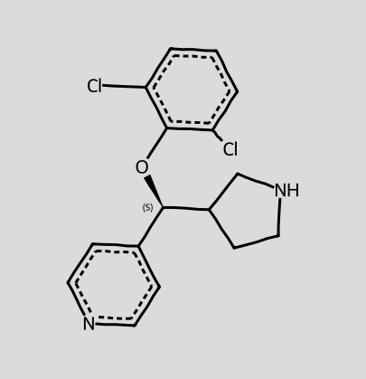 Clc1cccc(Cl)c1O[C@H](c1ccncc1)C1CCNC1